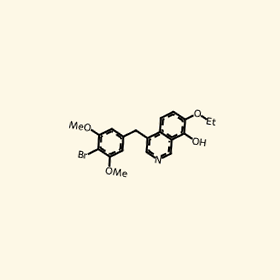 CCOc1ccc2c(Cc3cc(OC)c(Br)c(OC)c3)cncc2c1O